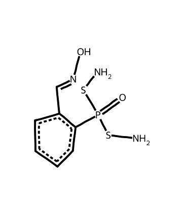 NSP(=O)(SN)c1ccccc1C=NO